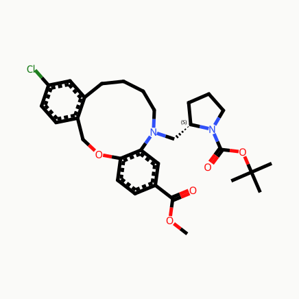 COC(=O)c1ccc2c(c1)N(C[C@@H]1CCCN1C(=O)OC(C)(C)C)CCCCc1cc(Cl)ccc1CO2